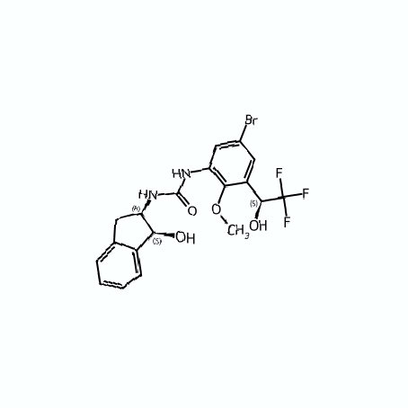 COc1c(NC(=O)N[C@@H]2Cc3ccccc3[C@@H]2O)cc(Br)cc1[C@H](O)C(F)(F)F